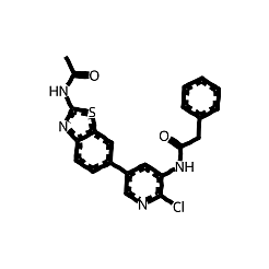 CC(=O)Nc1nc2ccc(-c3cnc(Cl)c(NC(=O)Cc4ccccc4)c3)cc2s1